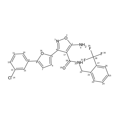 Nc1onc(-c2ccc(-c3cccc(Cl)c3)o2)c1C(=O)NCc1ccccc1C(F)(F)F